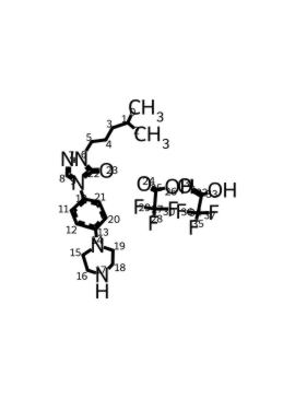 CC(C)CCCn1ncn(-c2ccc(N3CCNCC3)cc2)c1=O.O=C(O)C(F)(F)F.O=C(O)C(F)(F)F